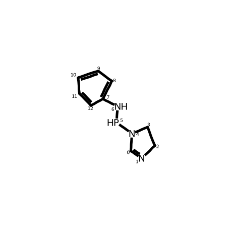 C1=NCCN1PNc1ccccc1